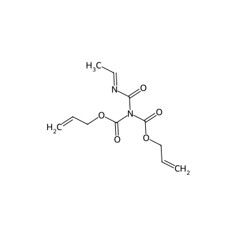 C=CCOC(=O)N(C(=O)N=CC)C(=O)OCC=C